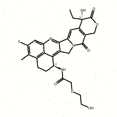 CC[C@@]1(O)C(=O)OCc2c1cc1n(c2=O)Cc2c-1nc1cc(F)c(C)c3c1c2[C@@H](NC(=O)COCCO)CC3